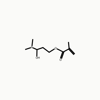 C=C(C)C(=O)OCCC(O)N(C)C